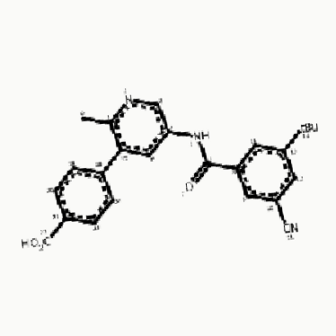 Cc1ncc(NC(=O)c2cc(C#N)cc(C(C)(C)C)c2)cc1-c1ccc(C(=O)O)cc1